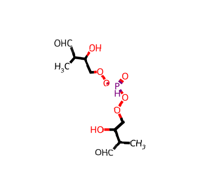 CC(C=O)C(O)COO[PH](=O)OOCC(O)C(C)C=O